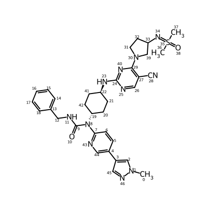 Cn1cc(-c2ccc(N(C(=O)NCc3ccccc3)[C@H]3CC[C@H](Nc4ncc(C#N)c(N5CCC(N=S(C)(C)=O)C5)n4)CC3)nc2)cn1